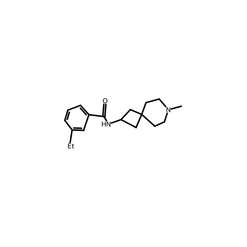 CCc1cccc(C(=O)NC2CC3(CCN(C)CC3)C2)c1